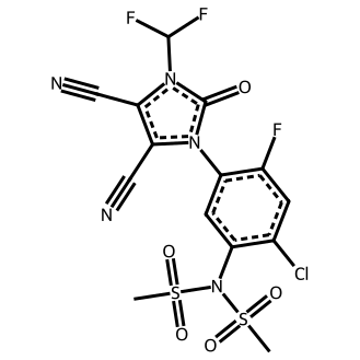 CS(=O)(=O)N(c1cc(-n2c(C#N)c(C#N)n(C(F)F)c2=O)c(F)cc1Cl)S(C)(=O)=O